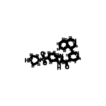 O=C(c1ccnc(-c2cncc3ccccc23)c1)c1nc2ccc(S(=O)(=O)N3CCNCC3)cc2[nH]1